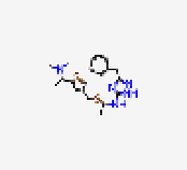 CC(Nc1nc(Cc2ccccc2)n[nH]1)SCc1csc(C(C)N(C)C)c1